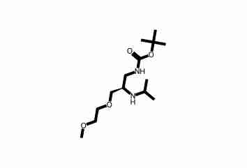 COCCOC[C@@H](CNC(=O)OC(C)(C)C)NC(C)C